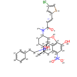 CN(C(=O)/C=C/c1cc(Br)cs1)C1CC[C@@]2(O)[C@H]3Cc4c([N+](=O)[O-])cc(O)c5c4[C@@]2(CCN3CCc2ccccc2)C1O5